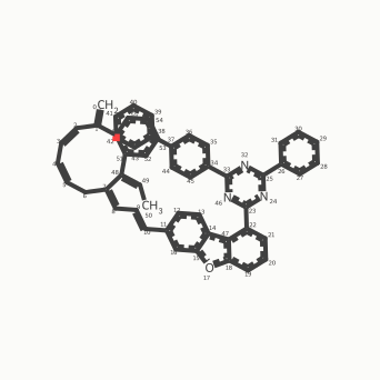 C=C1/C=C\C=C/CC(=C/C=C/c2ccc3c(c2)oc2cccc(-c4nc(-c5ccccc5)nc(-c5ccc(-c6ccccc6)cc5)n4)c23)/C(=C\C)c2ccccc21